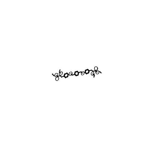 CCOC(=O)C(Cc1ccc(OCc2ccc(COc3ccc(CC(OCC)C(=O)OCC)cc3)cc2)cc1)OCC